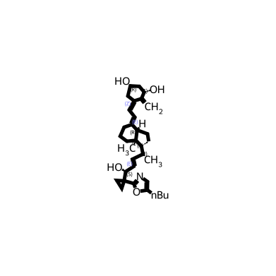 C=C1/C(=C\C=C2/CCC[C@]3(C)[C@@H]([C@H](C)/C=C/[C@H](O)C4(c5ncc(CCCC)o5)CC4)CC[C@@H]23)C[C@@H](O)C[C@@H]1O